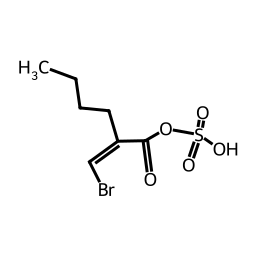 CCCCC(=CBr)C(=O)OS(=O)(=O)O